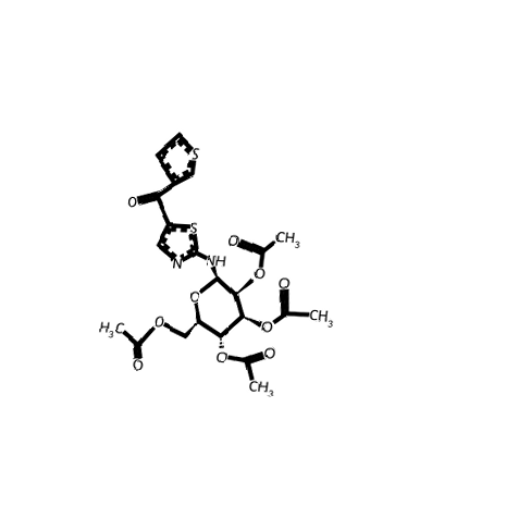 CC(=O)OC[C@H]1O[C@@H](Nc2ncc(C(=O)c3ccsc3)s2)[C@@H](OC(C)=O)[C@@H](OC(C)=O)[C@@H]1OC(C)=O